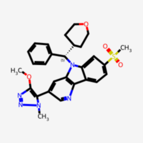 COc1nnn(C)c1-c1cnc2c3ccc(S(C)(=O)=O)cc3n([C@H](c3ccccc3)C3CCOCC3)c2c1